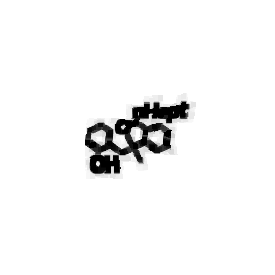 CCCCCCCC(=O)c1ccccc1C(C)(C)Cc1ccccc1O